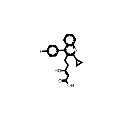 O=C(O)/C=C(\O)CCc1c(C2CC2)nc2ccccc2c1-c1ccc(F)cc1